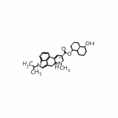 CC(C)n1cc2c3c(cccc31)C1=C[C@@H](C(=O)OC3CCCC4C(O)CCCC34)CN(C)[C@@H]1C2